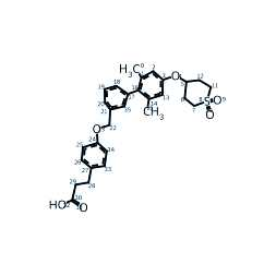 Cc1cc(OC2CCS(=O)(=O)CC2)cc(C)c1-c1cccc(COc2ccc(CCC(=O)O)cc2)c1